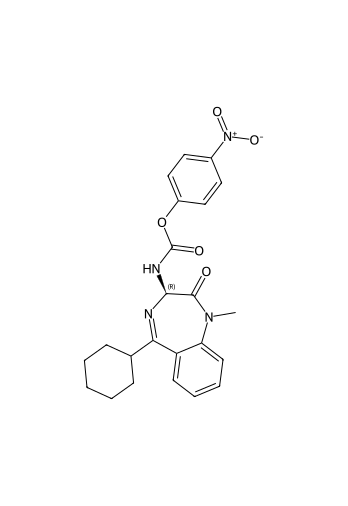 CN1C(=O)[C@H](NC(=O)Oc2ccc([N+](=O)[O-])cc2)N=C(C2CCCCC2)c2ccccc21